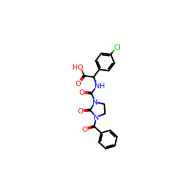 O=C(O)C(NC(=O)N1CCN(C(=O)c2ccccc2)C1=O)c1ccc(Cl)cc1